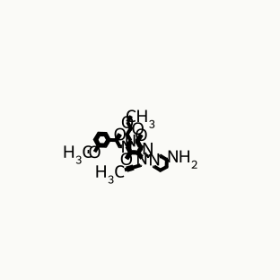 CC#CCn1c(N2CCCC(N)C2)nc2c(=O)n(CC(=O)OC)n(CC(=O)c3cccc(OC)c3)c(=O)c21